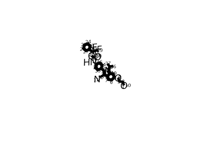 COCCOc1ccc2c(C#N)c(-c3ccc(NC(=O)OC(c4ccccc4)C(F)(F)F)cc3)n(C(C)C)c2c1